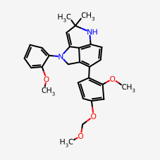 COCOc1ccc(-c2ccc3c4c2CN(c2ccccc2OC)C4=CC(C)(C)N3)c(OC)c1